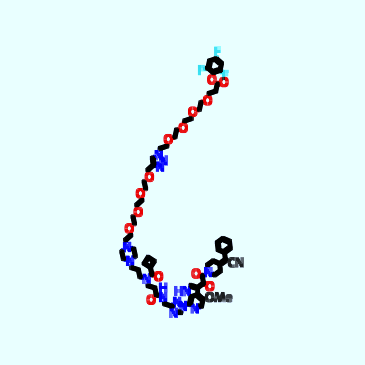 COc1cnc(-n2cnc(CNC(=O)CCN(CCCN3CCN(CCOCCOCCOCCOCc4cn(CCOCCOCCOCCOCCC(=O)Oc5c(F)cc(F)cc5F)nn4)CC3)C(=O)C3CCC3)n2)c2[nH]cc(C(=O)C(=O)N3CCC(=C(C#N)c4ccccc4)CC3)c12